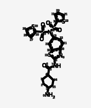 NC1CCC(C(=O)Nc2nc3ccc(N(S(=O)(=O)c4cccs4)S(=O)(=O)c4cccs4)cc3s2)CC1